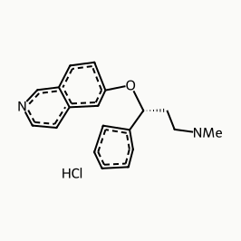 CNCC[C@@H](Oc1ccc2cnccc2c1)c1ccccc1.Cl